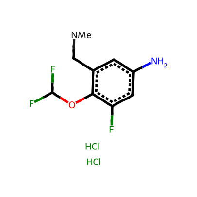 CNCc1cc(N)cc(F)c1OC(F)F.Cl.Cl